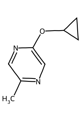 Cc1cnc(OC2CC2)cn1